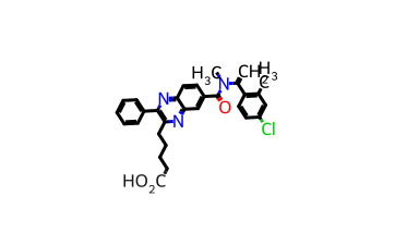 C=C(c1ccc(Cl)cc1C)N(C)C(=O)c1ccc2nc(-c3ccccc3)c(CCCCC(=O)O)nc2c1